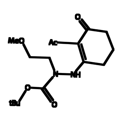 COCCN(NC1=C(C(C)=O)C(=O)CCC1)C(=O)OC(C)(C)C